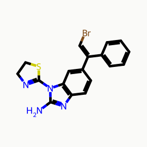 Nc1nc2ccc(C(=CBr)c3ccccc3)cc2n1C1=NCCS1